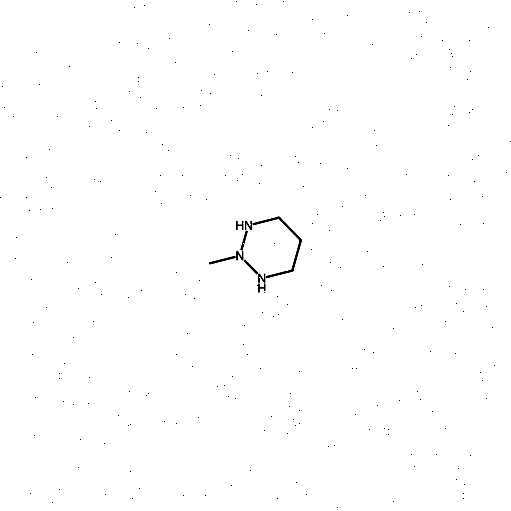 CN1NCCCN1